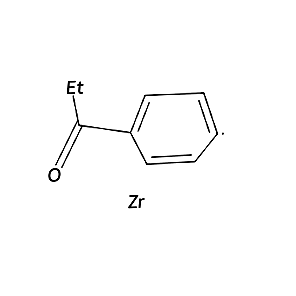 CCC(=O)c1cc[c]cc1.[Zr]